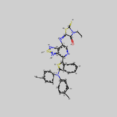 CCN1C(=O)/C(=N\c2cnc(-c3sc(N(c4ccc(C)cc4)c4ccc(C)cc4)c4ccccc34)c3nsnc23)SC1=S